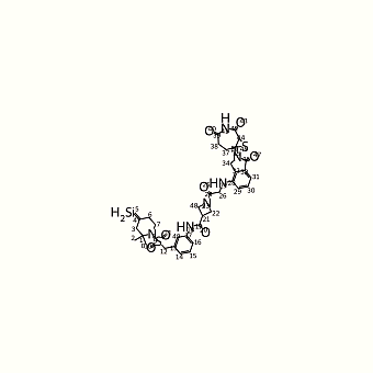 CC1(C)CC(=[SiH2])CCN1S(=O)(=O)Cc1cccc(NC(=O)C2CN(C(=O)CNc3cccc4c3CN([C@]35CCC(=O)NC(=O)C3S5)C4=O)C2)c1